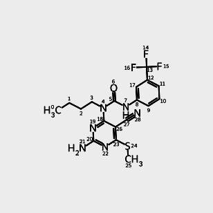 CCCCN(C(=O)Nc1cccc(C(F)(F)F)c1)c1nc(N)nc(SC)c1C#N